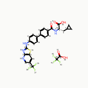 O=C(N[C@@H](CC1CC1)C(=O)O)c1ccc(-c2ccc(Nc3nc4ncc(C(F)(F)F)cc4s3)cc2)cc1.O=C(O)C(F)(F)F